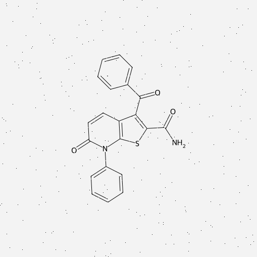 NC(=O)c1sc2c(ccc(=O)n2-c2ccccc2)c1C(=O)c1ccccc1